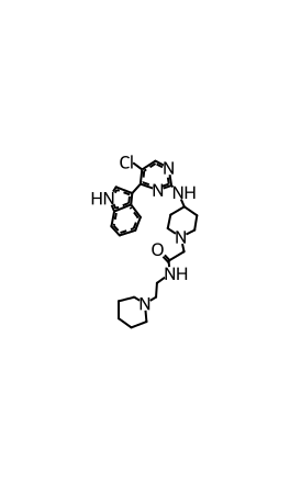 O=C(CN1CCC(Nc2ncc(Cl)c(-c3c[nH]c4ccccc34)n2)CC1)NCCN1CCCCC1